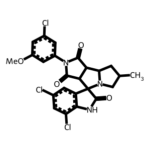 COc1cc(Cl)cc(N2C(=O)C3C4CC(C)CN4C4(C(=O)Nc5c(Cl)cc(Cl)cc54)C3C2=O)c1